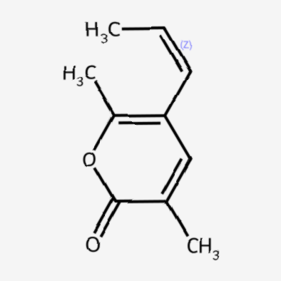 C/C=C\c1cc(C)c(=O)oc1C